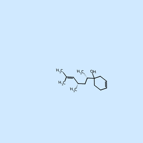 CC(C)=C[C@@H](C)C[C@H](C)C1(O)CC=CCC1